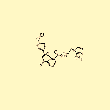 CCOc1ccc(-c2cc(=S)c3cccc(C(=O)NCCCn4ccnc4C)c3o2)cc1